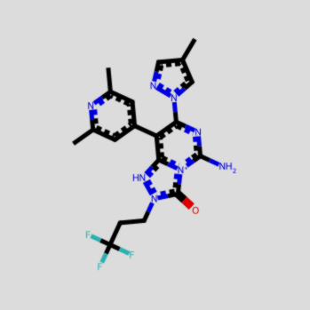 Cc1cnn(-c2nc(N)[n+]3c(=O)n(CCC(F)(F)F)[nH]c3c2-c2cc(C)nc(C)c2)c1